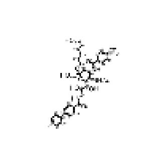 CC(=O)N[C@H]1[C@H]([C@H](O)[C@H](O)CNC(=O)c2ccc(-c3ccccc3)cc2)O[C@@](OCCCCCC(=O)O)(C(=O)O)C[C@@H]1NC(=O)c1ccc(C(F)(F)F)cc1